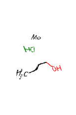 CCO.Cl.[Mo]